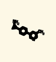 Cc1cncc(-c2ccc(C3CC3N)cc2)c1